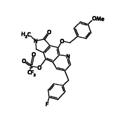 COc1ccc(COc2c3c(c(OS(=O)(=O)C(F)(F)F)c4cc(Cc5ccc(F)cc5)cnc24)CN(C)C3=O)cc1